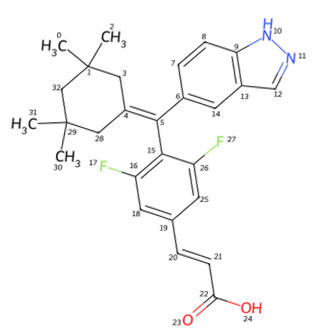 CC1(C)CC(=C(c2ccc3[nH]ncc3c2)c2c(F)cc(/C=C/C(=O)O)cc2F)CC(C)(C)C1